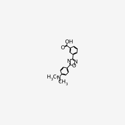 CN(C)c1ccc(-c2nc(-c3cccc(C(=O)O)c3)no2)cc1